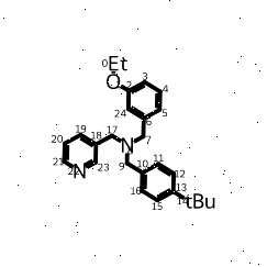 CCOc1cccc(CN(Cc2ccc(C(C)(C)C)cc2)Cc2cccnc2)c1